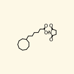 O=C(CCCCCC1CCCCCCCC1)ON1C(=O)CCC1=O